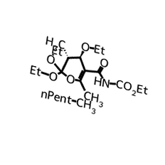 CCCCCC.CCOC(=O)NC(=O)C1=C(C)OC(OCC)(OCC)[C@H](C)[C@H]1OCC